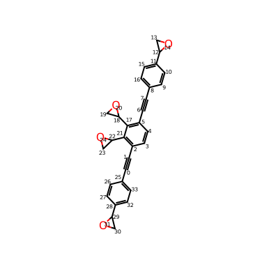 C(#Cc1ccc(C#Cc2ccc(C3CO3)cc2)c(C2CO2)c1C1CO1)c1ccc(C2CO2)cc1